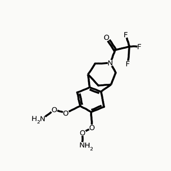 NOOc1cc2c(cc1OON)C1CC2CN(C(=O)C(F)(F)F)C1